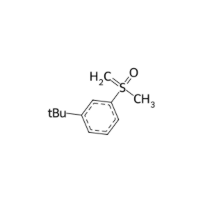 C=S(C)(=O)c1cccc(C(C)(C)C)c1